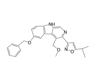 COCc1c(-c2cc(C(C)C)on2)ncc2[nH]c3ccc(OCc4ccccc4)cc3c12